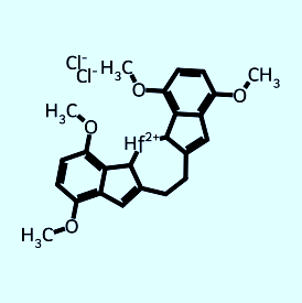 COc1ccc(OC)c2c1C=C1CCC3=Cc4c(OC)ccc(OC)c4[CH]3[Hf+2][CH]12.[Cl-].[Cl-]